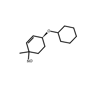 CC1(N=O)C=C[C@@H](OC2CCCCC2)CC1